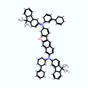 CC1(C)C2=CCC(N(c3ccc4cc5c6c(oc5cc4c3)CC(N(C3=CCC4C(C3)C3C=CC=CC3C4(C)C)C3C=C(C4C=CCCC4)C=CC3)C=C6)C3CCCC(C4=CC=CCC4)C3)C=C2C2C=CC=CC21